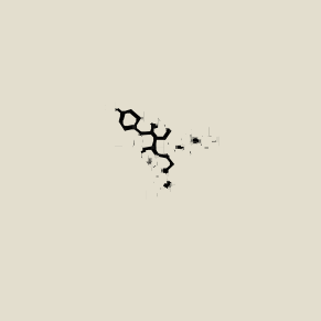 Cc1noc(C(CC(=O)OC(C)(C)C)NC(=O)OC(C)(C)C)c1-c1ccnc(F)c1C(=O)c1ccc(Cl)cc1